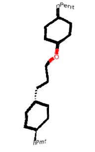 CCCCCC1CCC(OCCC[C@H]2CC[C@H](CCCCC)CC2)CC1